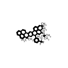 CC1(C)C=c2ccc3c4c2=C(C1)C(NC(C)(C)C)C=C4C(c1cccc(C(F)(F)F)c1)C1=C3C=C2C3C=Cc4cccc5ccc(c3c45)C(C)(C)C2C1